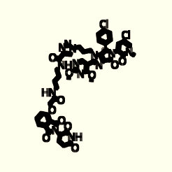 COc1ncc(-c2nc3c(n2CCCn2cc(C(=O)NCCCCNC(=O)COc4cccc5c4C(=O)N(C4CCC(=O)NC4=O)C5=O)nn2)[C@@H](c2ccc(Cl)cc2)N(c2cc(Cl)cn(C)c2=O)C3=O)c(OC)n1